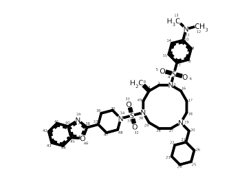 C=C1CN(S(=O)(=O)c2ccc(N(C)C)cc2)CCCN(CC2CCCCC2)CCCN(S(=O)(=O)N2CCC(c3nc4ccccc4o3)CC2)C1